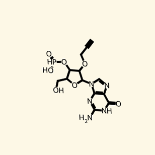 C#CCOC1C(O[PH](=O)O)C(CO)OC1n1cnc2c(=O)[nH]c(N)nc21